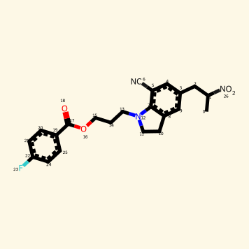 CC(Cc1cc(C#N)c2c(c1)CCN2CCCOC(=O)c1ccc(F)cc1)[N+](=O)[O-]